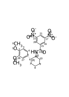 COc1ccc([C@H]2CCCC[C@H]2NC(=O)c2cc([N+](=O)[O-])cc([N+](=O)[O-])c2)cc1OC